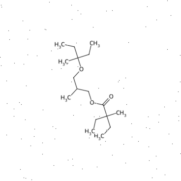 CCC(C)(CC)OCC(C)COC(=O)C(C)(CC)CC